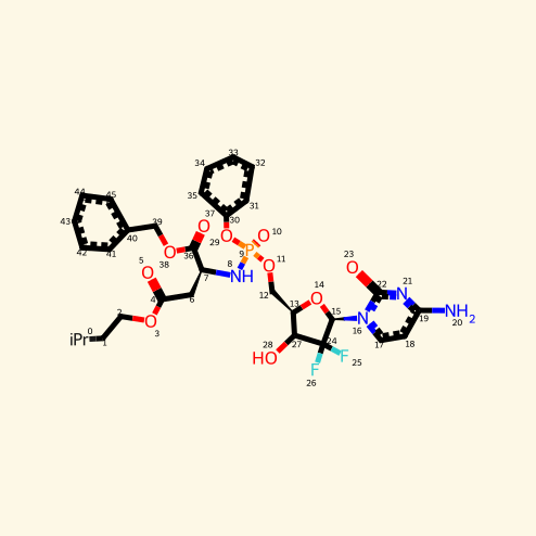 CC(C)CCOC(=O)C[C@H](NP(=O)(OC[C@H]1O[C@@H](n2ccc(N)nc2=O)C(F)(F)C1O)Oc1ccccc1)C(=O)OCc1ccccc1